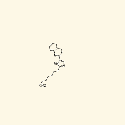 O=CCCCCCCc1ncc(-c2ccc3ccccc3n2)[nH]1